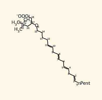 CCCCCC=CCC=CCC=CCC=CCCCCOC(CC(=O)[O-])C[N+](C)(C)C